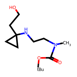 CN(CCNC1(CCO)CC1)C(=O)OC(C)(C)C